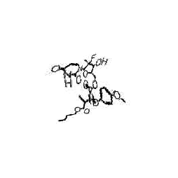 CCCCOC(=O)C(C)N(Oc1ccc(OC)cc1)[PH](=O)OC[C@H]1O[C@@H](n2ccc(=O)[nH]c2=O)[C@](C)(F)[C@@H]1O